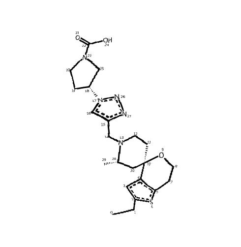 CCc1cc2c(s1)CCO[C@@]21CCN(Cc2cn([C@@H]3CCN(C(=O)O)C3)nn2)[C@@H](C)C1